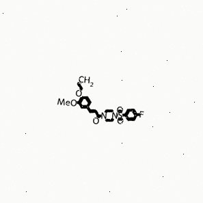 C=CCOc1ccc(/C=C/C(=O)N2CCN(S(=O)(=O)c3ccc(F)cc3)CC2)cc1OC